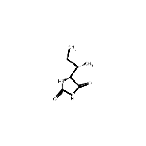 CC[C@H](C)[C@@H]1NC(=O)NC1=O